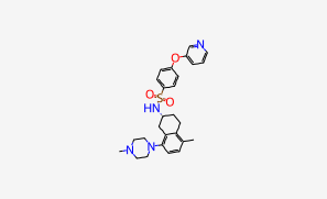 Cc1ccc(N2CCN(C)CC2)c2c1CC[C@@H](NS(=O)(=O)c1ccc(Oc3cccnc3)cc1)C2